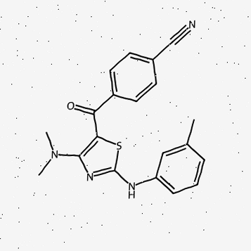 Cc1cccc(Nc2nc(N(C)C)c(C(=O)c3ccc(C#N)cc3)s2)c1